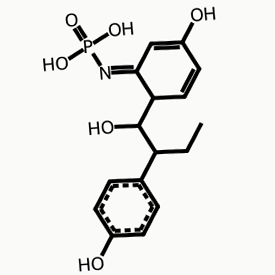 CCC(c1ccc(O)cc1)C(O)C1C=CC(O)=CC1=NP(=O)(O)O